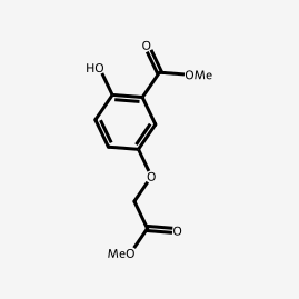 COC(=O)COc1ccc(O)c(C(=O)OC)c1